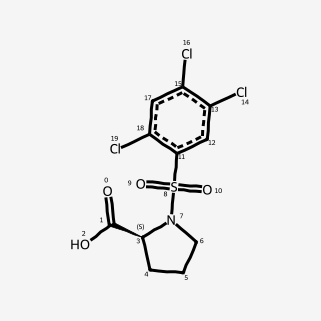 O=C(O)[C@@H]1CCCN1S(=O)(=O)c1cc(Cl)c(Cl)cc1Cl